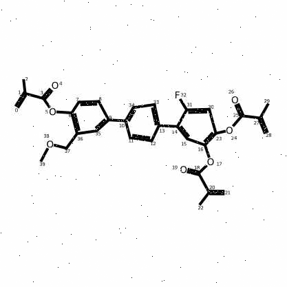 C=C(C)C(=O)Oc1ccc(-c2ccc(-c3cc(OC(=O)C(=C)C)c(OC(=O)C(=C)C)cc3F)cc2)cc1COC